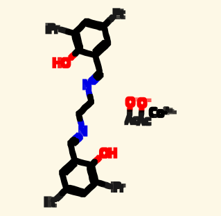 CC(=O)[O-].CC(=O)[O-].CCc1cc(C=NCCN=Cc2cc(CC)cc(C(C)C)c2O)c(O)c(C(C)C)c1.[Co+2]